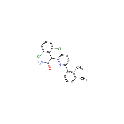 Cc1cccc(-c2cccc(C(C(N)=O)c3c(Cl)cccc3Cl)n2)c1C